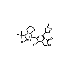 Cn1cc(-c2nc(N[C@@H]3CCCC[C@@H]3N(C(=O)O)C(C)(C)C)c(Cl)c3c2C(=O)NC3)cn1